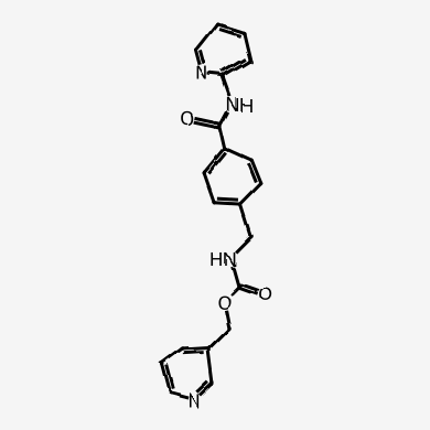 O=C(NCc1ccc(C(=O)Nc2ccccn2)cc1)OCc1cccnc1